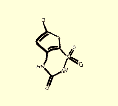 O=C1Nc2cc(Cl)sc2S(=O)(=O)N1